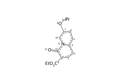 CCOC(=O)c1ccc2ccc(OC(C)C)cn2c1=O